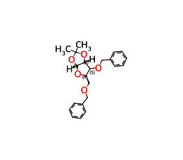 CC1(C)O[C@H]2O[C@H](COCc3ccccc3)[C@H](OCc3ccccc3)[C@H]2O1